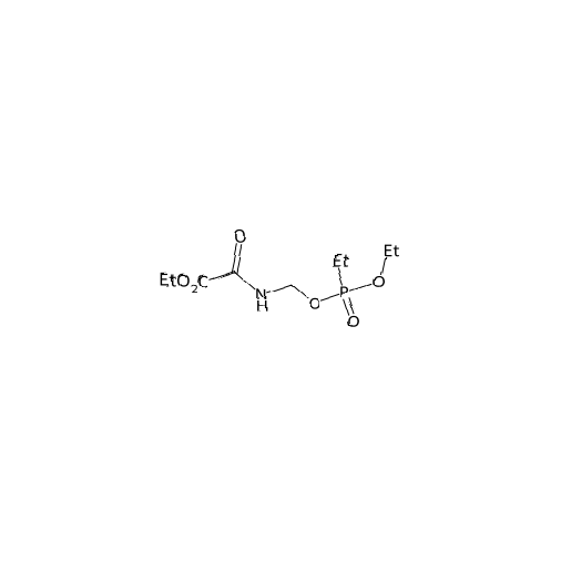 CCOC(=O)C(=O)NCOP(=O)(CC)OCC